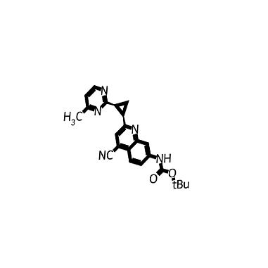 Cc1ccnc([C@H]2C[C@H]2c2cc(C#N)c3ccc(NC(=O)OC(C)(C)C)cc3n2)n1